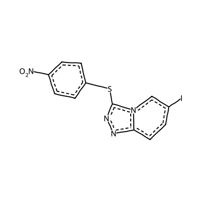 O=[N+]([O-])c1ccc(Sc2nnc3ccc(I)cn23)cc1